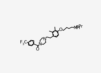 CCCNCCCCOc1ccc(CCN2CCN(C(=O)c3ccc(C(F)(F)F)cc3)CC2)c(C)c1C